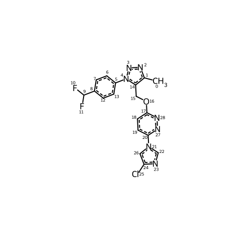 Cc1nnn(-c2ccc(C(F)F)cc2)c1COc1ccc(-n2cnc(Cl)c2)nn1